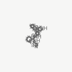 Cn1nccc1C(=O)NC(C(=O)Nc1ccc2c(c1)N(Cc1ccccc1)C(=O)C21CCNCC1)C1CCCCCCC1